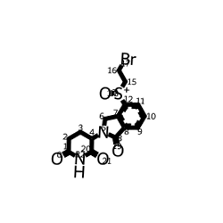 O=C1CCC(N2Cc3c(cccc3[S+]([O-])CCBr)C2=O)C(=O)N1